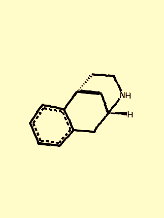 c1ccc2c(c1)C[C@H]1NCC[C@@]23CCCCC13